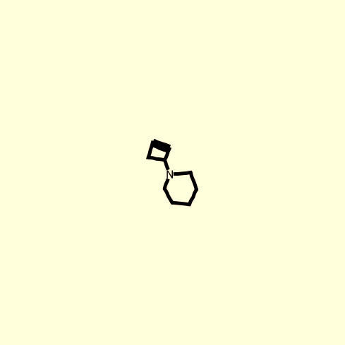 C1#CC(N2CCCCC2)C1